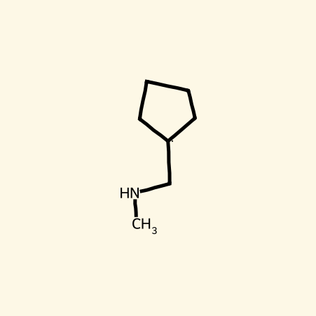 CNC[C]1CCCC1